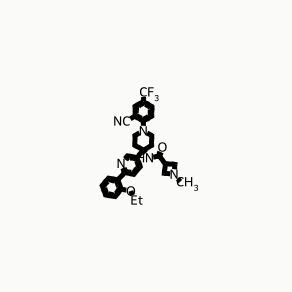 CCOc1ccccc1-c1ccc(C2(NC(=O)C3CN(C)C3)CCN(c3ccc(C(F)(F)F)cc3C#N)CC2)cn1